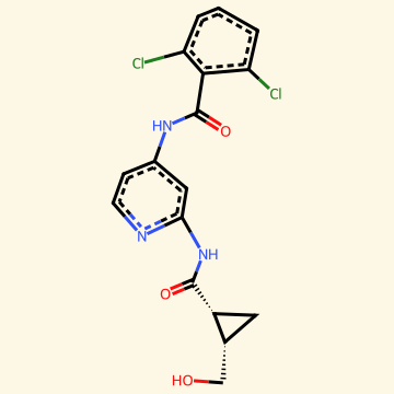 O=C(Nc1ccnc(NC(=O)[C@@H]2C[C@@H]2CO)c1)c1c(Cl)cccc1Cl